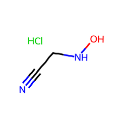 Cl.N#CCNO